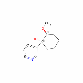 CO[C@H]1CCCC[C@@]1(O)c1cccnc1